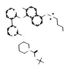 CCCCS(=O)(=O)Nc1cccc2c(Oc3ncccc3-c3ccnc(N[C@H]4CCCN(C(=O)OC(C)(C)C)C4)n3)c(C)ccc12